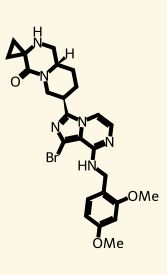 COc1ccc(CNc2nccn3c([C@@H]4CC[C@H]5CNC6(CC6)C(=O)N5C4)nc(Br)c23)c(OC)c1